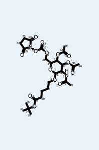 CC(=O)NC1C(OCCCCC(=O)OC(C)(C)C)OC(COC(=O)ON2C(=O)CCC2=O)C(OC(C)=O)C1OC(C)=O